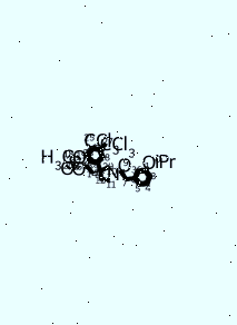 CC(C)Oc1cccc(CC(=O)N2CC[C@](CCOS(C)(=O)=O)(c3ccc(C(Cl)(Cl)Cl)c(C(Cl)(Cl)Cl)c3)C2)c1